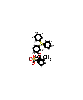 CC12CCC(C(S(=O)(=O)[O-])C1=O)C2(C)C.c1ccc([S+](C2CCCCC2)C2CCCCC2)cc1